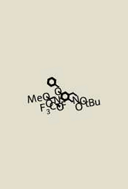 COC(=O)CN(C(=O)C(F)(F)F)c1c(OCc2ccccc2)cc2c(c1F)CN(C(=O)OC(C)(C)C)CC2